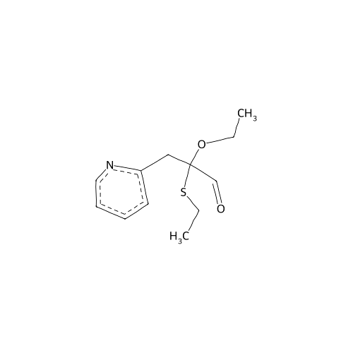 CCOC(C=O)(Cc1ccccn1)SCC